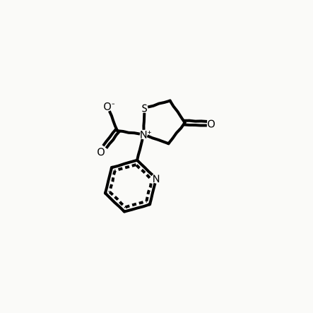 O=C1CS[N+](C(=O)[O-])(c2ccccn2)C1